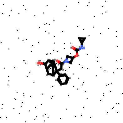 O=C(NC1CC1)OC1CN(C(=O)CC2(c3ccccc3)C3CC4CC2CC(C3)C4O)C1